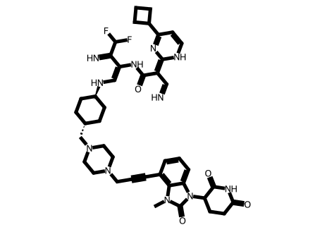 Cn1c(=O)n(C2CCC(=O)NC2=O)c2cccc(C#CCN3CCN(C[C@H]4CC[C@H](N/C=C(/NC(=O)/C(C=N)=C5\N=C(C6CCC6)C=CN5)C(=N)C(F)F)CC4)CC3)c21